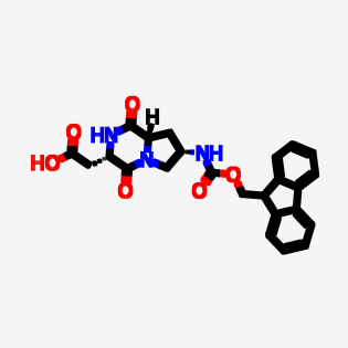 O=C(O)C[C@@H]1NC(=O)[C@@H]2C[C@H](NC(=O)OCC3c4ccccc4-c4ccccc43)CN2C1=O